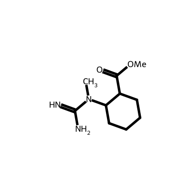 COC(=O)C1CCCCC1N(C)C(=N)N